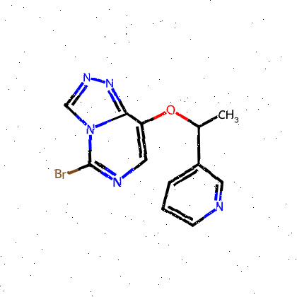 CC(Oc1cnc(Br)n2cnnc12)c1cccnc1